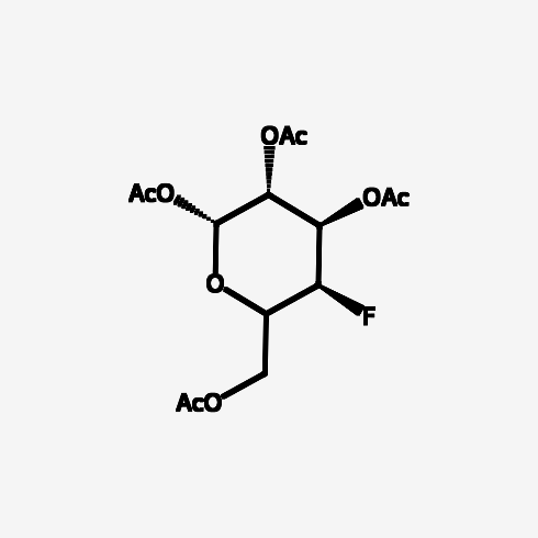 CC(=O)OCC1O[C@H](OC(C)=O)[C@H](OC(C)=O)[C@@H](OC(C)=O)[C@H]1F